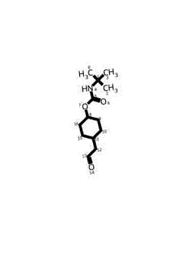 CC(C)(C)NC(=O)OC1CCC(CC=O)CC1